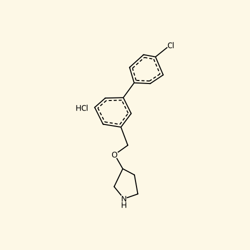 Cl.Clc1ccc(-c2cccc(COC3CCNC3)c2)cc1